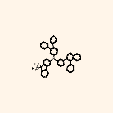 CC1(C)c2ccccc2-c2cc(N(c3cccc(-c4ccc5ccccc5c4-c4ccccc4)c3)c3ccc(-c4ccccc4)c(-c4ccccc4)c3)ccc21